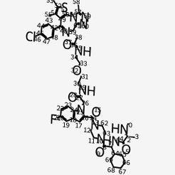 CN[C@@H](C)C(=O)N[C@H](C(=O)N1CCN(C(=O)c2cc3cc(F)ccc3n2CC(=O)NCCOCCNC(=O)C[C@@H]2N=C(c3ccc(Cl)cc3)c3c(sc(C)c3C)-n3c(C)nnc32)CC1)C1CCCCC1